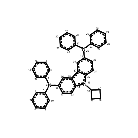 c1ccc(N(c2ccccc2)c2ccc3c(c2)c2cc(N(c4ccccc4)c4ccccc4)ccc2n3C2CCC2)cc1